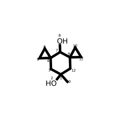 CC1(O)CC2(CC2)C(O)C2(CC2)C1